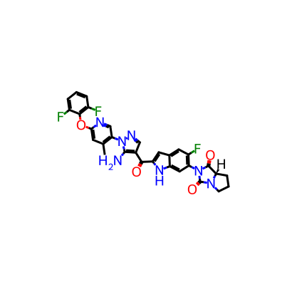 Cc1cc(Oc2c(F)cccc2F)ncc1-n1ncc(C(=O)c2cc3cc(F)c(N4C(=O)[C@@H]5CCCN5C4=O)cc3[nH]2)c1N